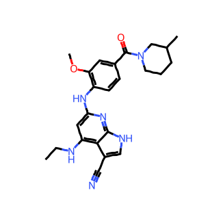 CCNc1cc(Nc2ccc(C(=O)N3CCCC(C)C3)cc2OC)nc2[nH]cc(C#N)c12